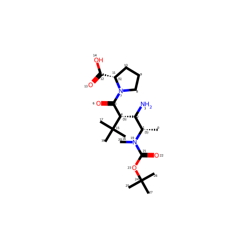 C[C@@H](C(N)[C@@H](C(=O)N1CCC[C@H]1C(=O)O)C(C)(C)C)N(C)C(=O)OC(C)(C)C